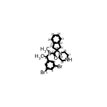 C[C@H](c1cc(Br)cc(Br)c1)N(C)C(=O)C1(N2CCNCC2)Cc2ccccc2C1